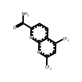 NC(=O)c1ccc2c(C(F)(F)F)cc(C(F)(F)F)nc2n1